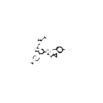 COc1ccc(CN(C2(CF)CC2)S(=O)(=O)c2cc(N3CCN(C(=O)C(C)C)CC3)c3cnc(-c4nnc(C(F)F)s4)n3c2)cc1